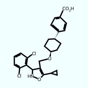 O=C(O)c1ccc([C@H]2CC[C@H](OCC3=C(C4CC4)ONC3c3c(Cl)cccc3Cl)CC2)cc1